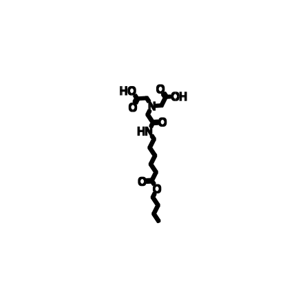 CCCCOC(=O)CCCCCNC(=O)CN(CC(=O)O)CC(=O)O